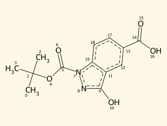 CC(C)(C)OC(=O)n1nc(O)c2cc(C(=O)O)ccc21